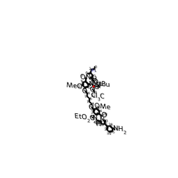 C/C=C/C1=CN2C(=O)c3cc(OC)c(OCCCCCOc4cc5c(cc4OC)C(=O)N4C=C(c6cccc(N)c6)C[C@H]4[C@H](C)N5C(=O)OCC)cc3N(C(=O)OCC(Cl)(Cl)Cl)[C@@H](O[Si](C)(C)C(C)(C)C)[C@@H]2C1